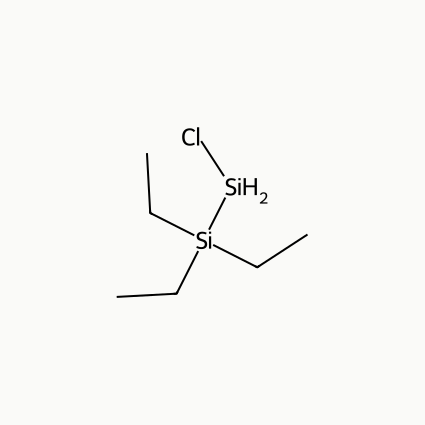 CC[Si](CC)(CC)[SiH2]Cl